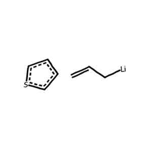 [Li][CH2]C=C.c1ccsc1